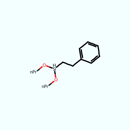 CCCO[SiH](CCc1ccccc1)OCCC